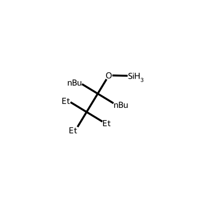 CCCCC(CCCC)(O[SiH3])C(CC)(CC)CC